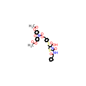 CC(=O)Oc1ccc2c(c1)Oc1cc(OC(C)=O)ccc1N2C(=O)OCc1ccc(SCC2=C(C(=O)O)N3C(=O)C(NC(=O)Cc4ccccc4)C3SC2)cc1